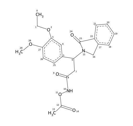 CCOc1cc(C(CC(=O)NOC(C)=O)N2Cc3ccc[c]c3C2=O)ccc1OC